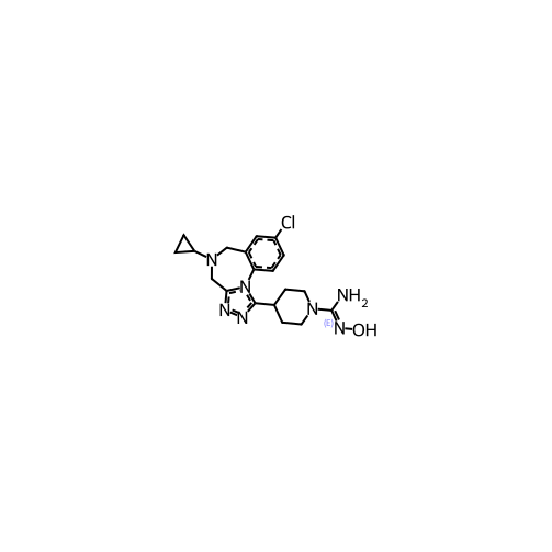 N/C(=N\O)N1CCC(c2nnc3n2-c2ccc(Cl)cc2CN(C2CC2)C3)CC1